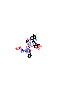 CC[C@@]1(O)C(=O)OCc2c1cc1n(c2=O)Cc2c-1nc1cc(F)c(C)c3c1c2[C@@H](NC(=O)C1(OCNC(=O)CNC(=O)[C@H](Cc2ccccc2)NC(=O)CNC(=O)CNC(=O)O)CC1)CC3